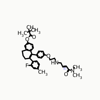 Cc1ccc(C2=C(c3ccc(OCCNC/C=C/C(=O)N(C)C)cc3)c3ccc(OC(=O)C(C)(C)C)cc3CCC2)c(F)c1